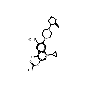 Cl.O=C(O)Oc1cn(C2CC2)c2cc(N3CCN(C4CCOC4=O)CC3)c(F)cc2c1=O